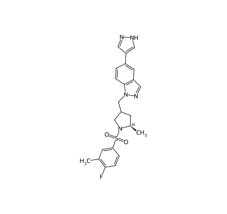 Cc1cc(S(=O)(=O)N2CC(Cn3ncc4cc(-c5cn[nH]c5)ccc43)C[C@H]2C)ccc1F